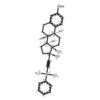 COc1ccc2c(c1)CC[C@@H]1[C@@H]2CC[C@@]2(C)[C@H]1CC[C@@]2(O)C#C[Si](C)(C)c1ccccc1